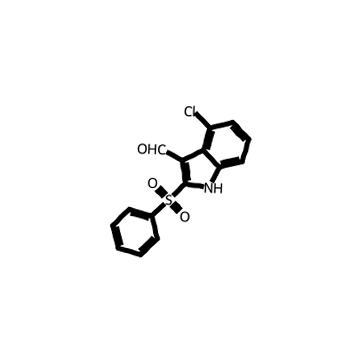 O=Cc1c(S(=O)(=O)c2ccccc2)[nH]c2cccc(Cl)c12